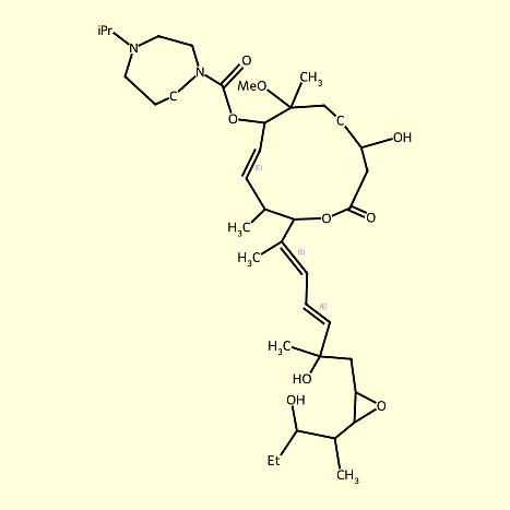 CCC(O)C(C)C1OC1CC(C)(O)/C=C/C=C(\C)C1OC(=O)CC(O)CCC(C)(OC)C(OC(=O)N2CCCN(C(C)C)CC2)/C=C/C1C